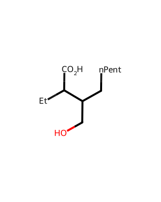 CCCCCCC(CO)C(CC)C(=O)O